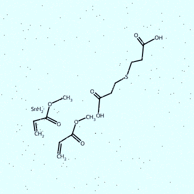 C=CC(=O)OC.C=CC(=O)OC.O=C(O)CCSCCC(=O)O.[SnH2]